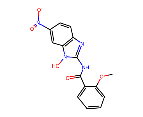 COc1ccccc1C(=O)Nc1nc2ccc([N+](=O)[O-])cc2n1O